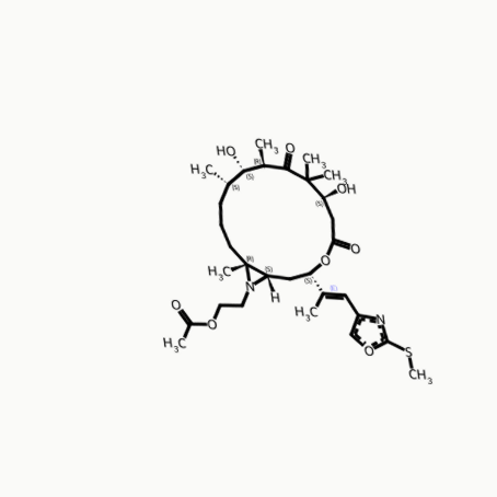 CSc1nc(/C=C(\C)[C@@H]2C[C@@H]3N(CCOC(C)=O)[C@]3(C)CCC[C@H](C)[C@H](O)[C@@H](C)C(=O)C(C)(C)[C@@H](O)CC(=O)O2)co1